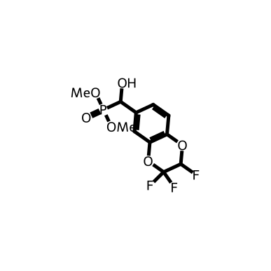 COP(=O)(OC)C(O)c1ccc2c(c1)OC(F)(F)C(F)O2